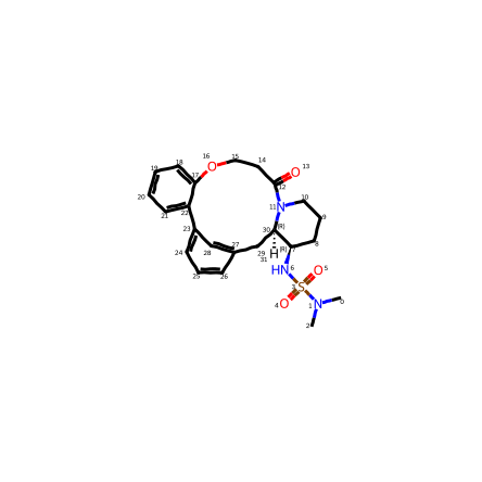 CN(C)S(=O)(=O)N[C@@H]1CCCN2C(=O)CCOc3ccccc3-c3cccc(c3)C[C@H]12